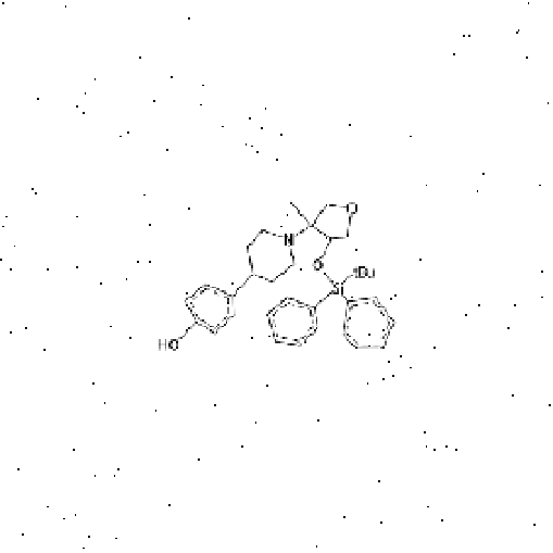 CC1(N2CCC(c3ccc(O)cc3)CC2)COCC1O[Si](c1ccccc1)(c1ccccc1)C(C)(C)C